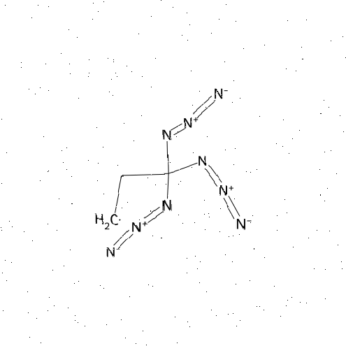 [CH2]CC(N=[N+]=[N-])(N=[N+]=[N-])N=[N+]=[N-]